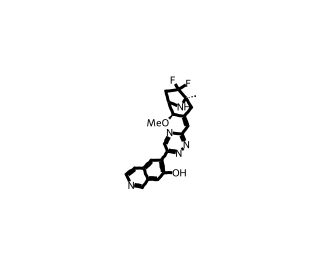 CO[C@@H]1/C(=C\c2ncc(-c3cc4ccncc4cc3O)nn2)C[C@@]2(C)NC1CC2(F)F